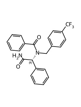 NC(=O)[C@@H](c1ccccc1)N(Cc1ccc(C(F)(F)F)cc1)C(=O)c1ccccc1